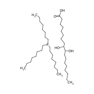 CCCCCCCCC(O)C(O)CCCCCCCC(=O)O.CCCCCCCCP(CCCCCCCC)CCCCCCCC